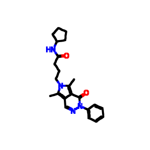 Cc1c2cnn(-c3ccccc3)c(=O)c2c(C)n1CCCC(=O)NC1CCCC1